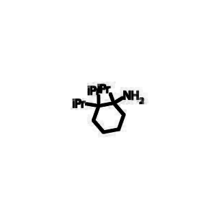 CC(C)C1(N)CCCCC1(C(C)C)C(C)C